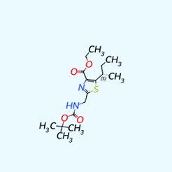 CCOC(=O)c1nc(CNC(=O)OC(C)(C)C)sc1[C@@H](C)CC